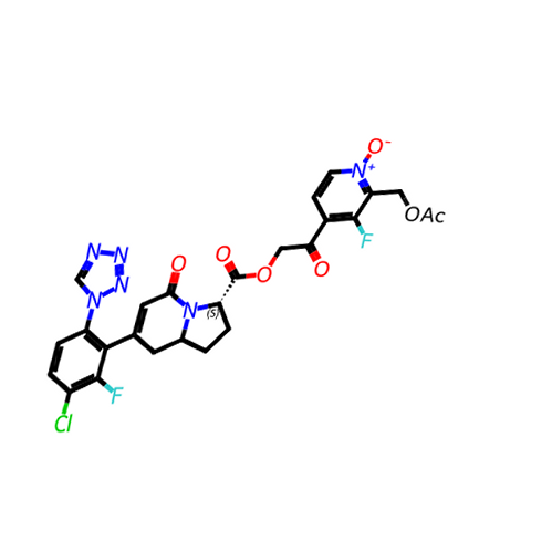 CC(=O)OCc1c(F)c(C(=O)COC(=O)[C@@H]2CCC3CC(c4c(-n5cnnn5)ccc(Cl)c4F)=CC(=O)N32)cc[n+]1[O-]